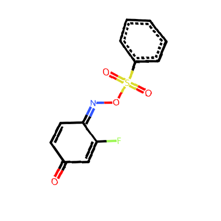 O=C1C=CC(=NOS(=O)(=O)c2ccccc2)C(F)=C1